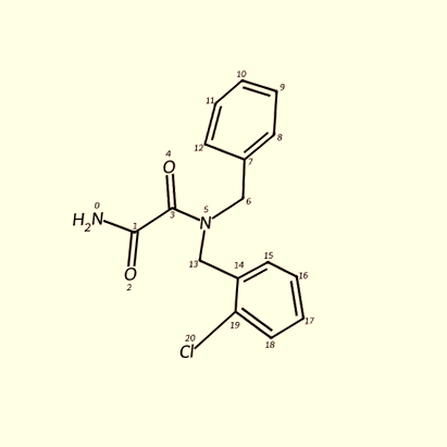 NC(=O)C(=O)N(Cc1ccccc1)Cc1ccccc1Cl